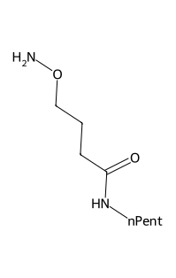 CCCCCNC(=O)CCCON